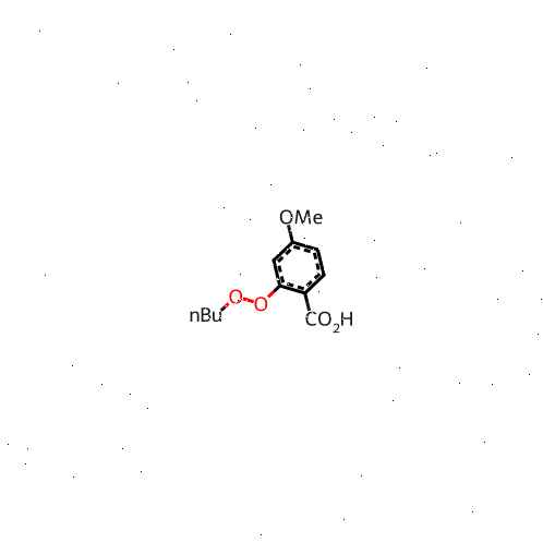 CCCCOOc1cc(OC)ccc1C(=O)O